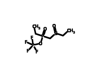 CC[Si](=O)CP(=O)(CC)OP(F)(F)(F)F